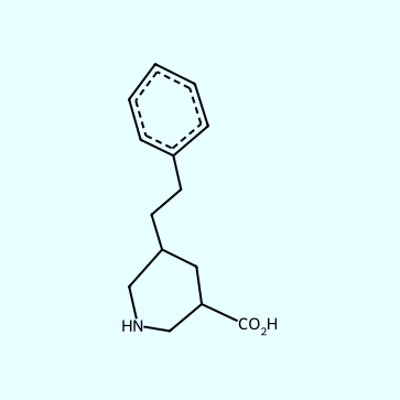 O=C(O)C1CNCC(CCc2ccccc2)C1